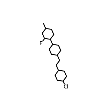 CC1CCC(C2CCC(CCC3CCC(Cl)CC3)CC2)C(F)C1